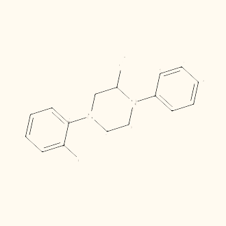 Cc1ccccc1N1CCN(c2ccccc2)C(C)C1